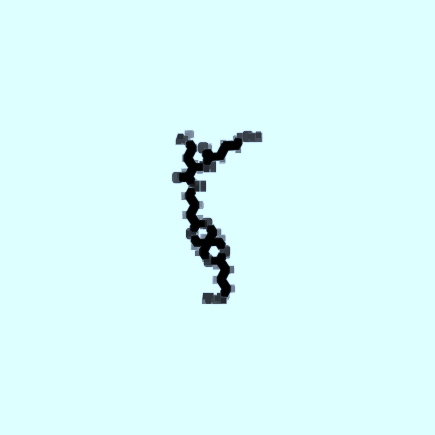 CCCCCCCC/C=C/CC(=O)NC(CCC(C)=O)C(=O)NCCCC1OCC2(COC(CCCNC)OC2)CO1